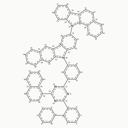 c1ccc(-c2ccccc2-c2nc(-c3cccc(-n4c5ccc(-n6c7ccccc7c7ccc8ccccc8c76)cc5c5cc6ccccc6cc54)c3)nc(-c3cccc4ccccc34)n2)cc1